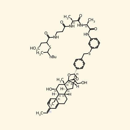 C/C=C1\C=C[C@@]2(C)C(=C1)CC[C@@H]1[C@@H]2[C@@H](O)C[C@@]2(C)[C@H]1C[C@H]1O[C@@H](c3ccc(CSc4cccc(NC(=O)[C@H](C)NC(=O)[C@H](C)NC(=O)CCNC(=O)C(CC(=O)O)SC(C)CCCC)c4)cc3)O[C@]12C(=O)CO